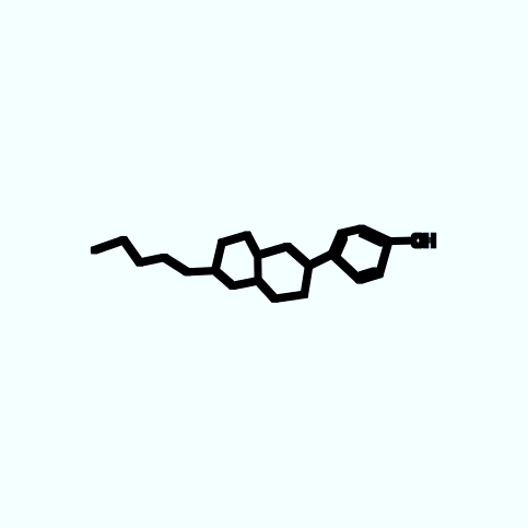 CCCCCC1CCC2CC(c3ccc(O)cc3)CCC2C1